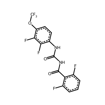 O=C(NC(=O)c1c(F)cccc1F)Nc1ccc(OC(F)(F)F)c(F)c1F